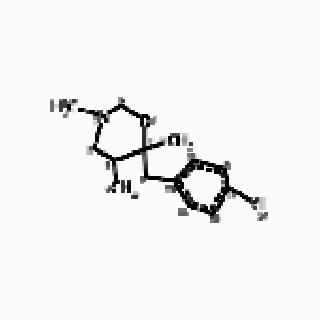 CC1CN(C)COC1(C)Cc1ccc(Cl)cc1